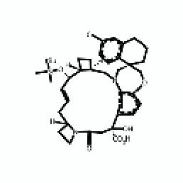 CC(C)(C)[Si](C)(C)O[C@H]1/C=C/C[C@H]2CCN2C(=O)C[C@@](O)(C(=O)O)c2ccc3c(c2)N(C[C@@H]2CC[C@H]21)C[C@@]1(CCCc2cc(Cl)ccc21)CO3